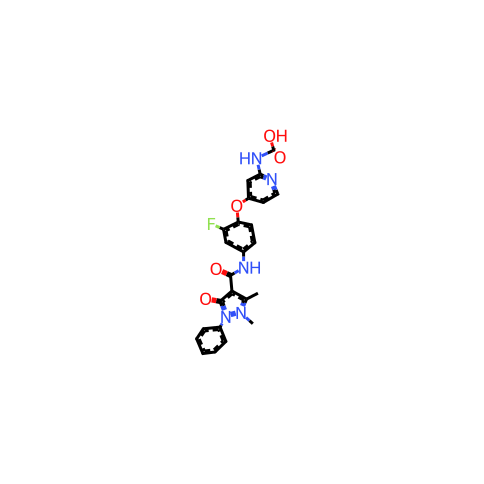 Cc1c(C(=O)Nc2ccc(Oc3ccnc(NC(=O)O)c3)c(F)c2)c(=O)n(-c2ccccc2)n1C